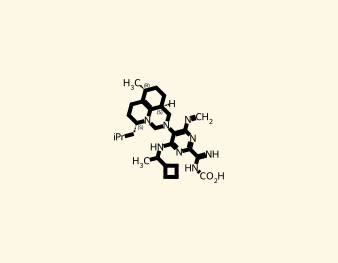 C=Nc1nc(C(=N)NC(=O)O)nc(NC(C)C2CCC2)c1N1C[C@@H]2CC[C@@H](C)C3=C2N(C1)[C@H](CC(C)C)CC3